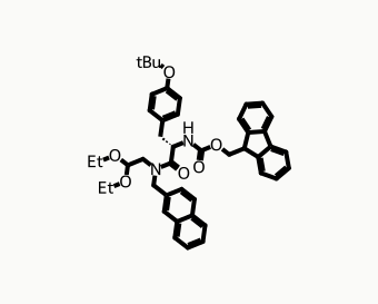 CCOC(CN(Cc1ccc2ccccc2c1)C(=O)[C@H](Cc1ccc(OC(C)(C)C)cc1)NC(=O)OCC1c2ccccc2-c2ccccc21)OCC